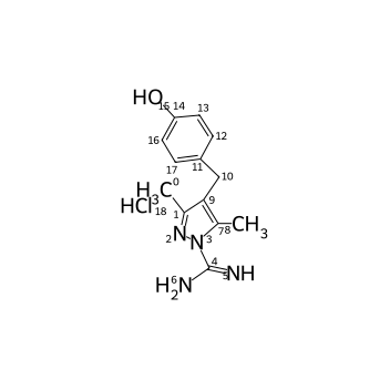 Cc1nn(C(=N)N)c(C)c1Cc1ccc(O)cc1.Cl